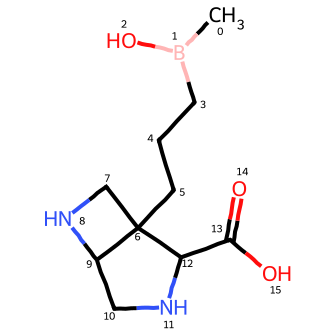 CB(O)CCCC12CNC1CNC2C(=O)O